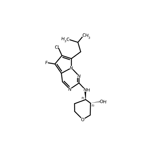 CC(C)Cc1c(Cl)c(F)c2cnc(N[C@@H]3CCOC[C@H]3O)nn12